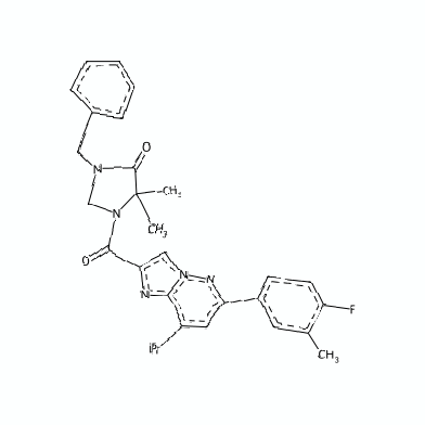 Cc1cc(-c2cc(C(C)C)c3nc(C(=O)N4CN(Cc5ccccc5)C(=O)C4(C)C)cn3n2)ccc1F